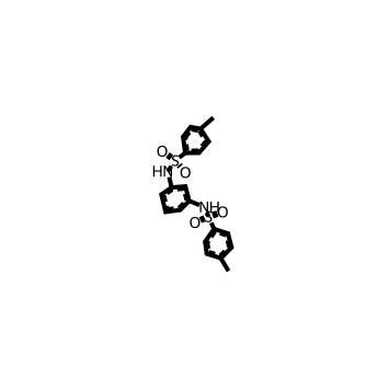 Cc1ccc(S(=O)(=O)Nc2cccc(NS(=O)(=O)c3ccc(C)cc3)c2)cc1